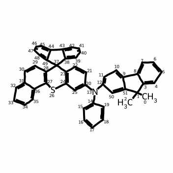 CC1(C)c2ccccc2-c2ccc(N(c3ccccc3)c3ccc4c(c3)Sc3c(ccc5ccccc35)C43c4ccccc4-c4ccccc43)cc21